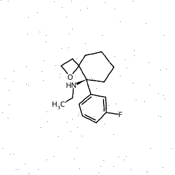 CCN[C@]1(c2cccc(F)c2)CCCCC12CCO2